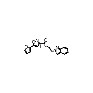 O=C(NCCn1cc2ccccc2n1)c1cc(-c2ccco2)on1